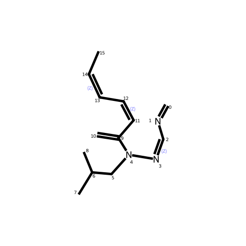 C=N/C=N\N(CC(C)C)C(=C)/C=C\C=C/C